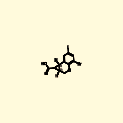 O=C(O)C1[C@H]2COc3c(Br)cc(F)cc3[C@@H]12